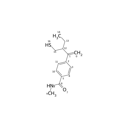 C=C(c1ccc(C(=O)NC)cc1)C(CC)CS